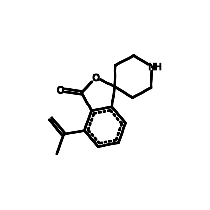 C=C(C)c1cccc2c1C(=O)OC21CCNCC1